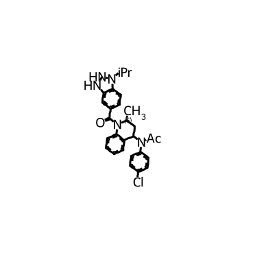 CC(=O)N(c1ccc(Cl)cc1)C1C[C@H](C)N(C(=O)c2ccc3c(c2)NNN3C(C)C)c2ccccc21